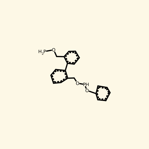 POCc1ccccc1-c1ccccc1COPOc1ccccc1